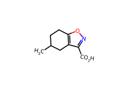 CC1CCc2onc(C(=O)O)c2C1